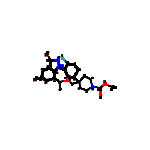 CC(OCC1(c2ccc(F)cc2)CCN(C(=O)OC(C)(C)C)CC1)c1cc(Br)cc2c(Br)n[nH]c12